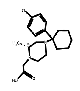 C[C@@H]1CN(C2(c3ccc(Cl)cc3)CCCCC2)CCN1CC(=O)O